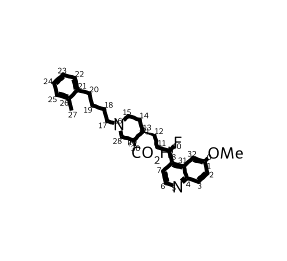 COc1ccc2nccc(C(F)CC[C@@H]3CCN(CCCCc4ccccc4C)C[C@@H]3C(=O)O)c2c1